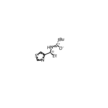 CC[C@H](N[S@@+]([O-])C(C)(C)C)c1cscn1